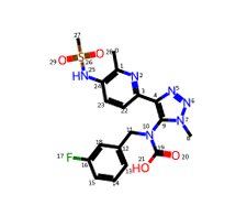 Cc1nc(-c2nnn(C)c2N(Cc2cccc(F)c2)C(=O)O)ccc1NS(C)(=O)=O